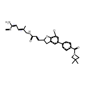 C=N/C(N)=C\C=C(/C)CNC(=O)/C=C/C1Cc2cc(-c3ccc(C(=O)N4CC(C)(C)C4)cc3)cc(Cl)c2O1